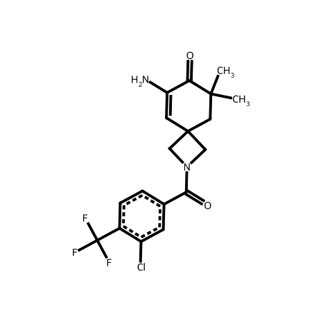 CC1(C)CC2(C=C(N)C1=O)CN(C(=O)c1ccc(C(F)(F)F)c(Cl)c1)C2